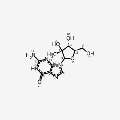 C[C@]1(O)C(n2cnc3c(=O)[nH]c(N)nc32)O[C@H](CO)[C@H]1O